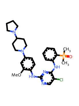 COc1cc(N2CCC(N3CCCC3)CC2)ccc1Nc1ncc(Cl)c(Nc2ccccc2P(C)(C)=O)n1